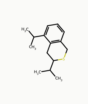 CC(C)c1cccc2c1CC(C(C)C)SC2